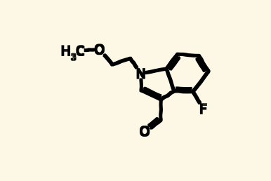 COCCn1cc(C=O)c2c(F)cccc21